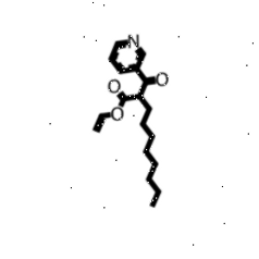 C=COC(=O)C(CCCCCCCC)C(=O)c1cccnc1